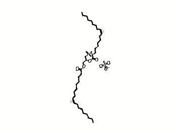 CCCCCCCC/C=C\CCCCCCCC(=O)OCC(C[N+](C)(C)C)OC(=O)CCCCCCC/C=C\CCCCCCCC.CS(=O)(=O)[O-]